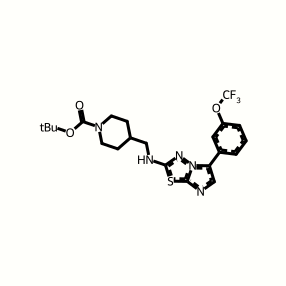 CC(C)(C)OC(=O)N1CCC(CNc2nn3c(-c4cccc(OC(F)(F)F)c4)cnc3s2)CC1